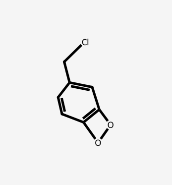 ClCc1ccc2ooc2c1